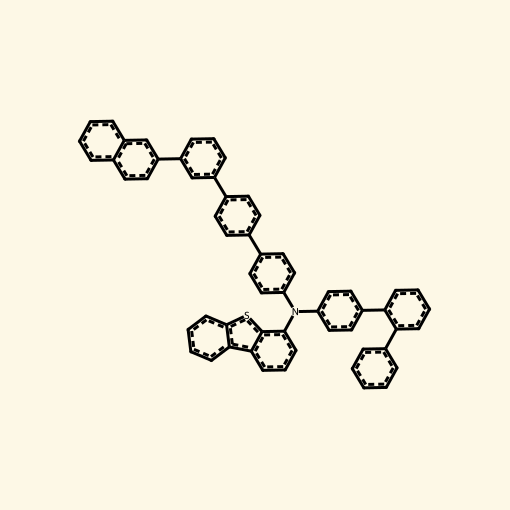 c1ccc(-c2ccccc2-c2ccc(N(c3ccc(-c4ccc(-c5cccc(-c6ccc7ccccc7c6)c5)cc4)cc3)c3cccc4c3sc3ccccc34)cc2)cc1